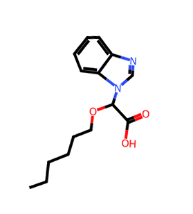 CCCCCCOC(C(=O)O)n1cnc2ccccc21